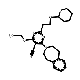 CCOc1nc(CCOC2CCCCO2)nc(N2CCc3ccccc3CC2)c1C#N